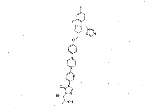 CC[C@@H](C(C)O)n1ncn(-c2ccc(N3CCN(c4ccc(OCC5CO[C@@](Cn6cncn6)(c6ccc(F)cc6F)C5)cc4)CC3)cc2)c1=O